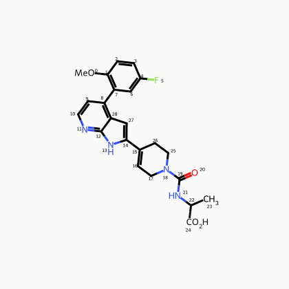 COc1ccc(F)cc1-c1ccnc2[nH]c(C3=CCN(C(=O)NC(C)C(=O)O)CC3)cc12